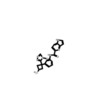 CC1CC(c2cccc(NC(=O)c3ccc4[nH]ccc4n3)c2)(c2nncn2C)C1